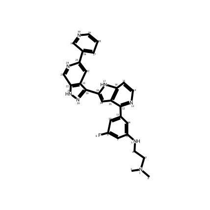 CN(C)CCNc1cc(F)cc(-c2nccc3[nH]c(-c4n[nH]c5cnc(-c6cccnc6)cc45)cc23)c1